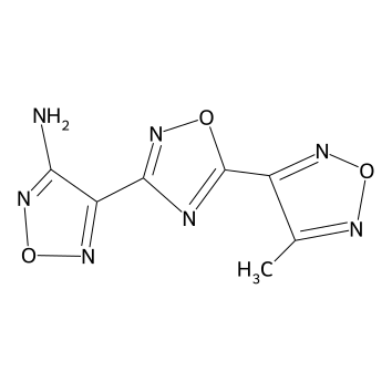 Cc1nonc1-c1nc(-c2nonc2N)no1